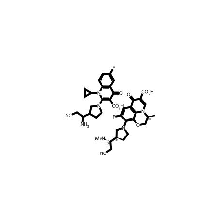 CN[C@@H](CC#N)[C@@H]1CCN(c2c(F)cc3c(=O)c(C(=O)O)cn4c3c2OC[C@@H]4C)C1.N#CCC(N)C1CCN(c2c(C(=O)O)c(=O)c3cc(F)ccc3n2C2CC2)C1